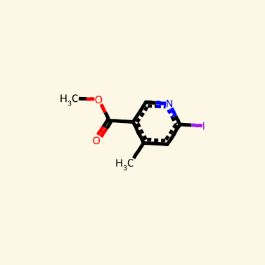 COC(=O)c1cnc(I)cc1C